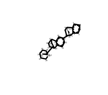 c1ccc2c(c1)C1CCC2N(c2ccc3c(c2)C2CCC3C(C3CC4CCN3CC4)C2)C1